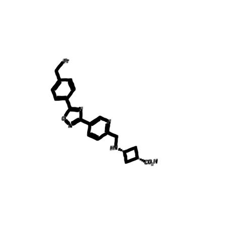 CC(C)Cc1ccc(-c2nc(-c3ccc(CN[C@H]4C[C@@H](C(=O)O)C4)nc3)no2)cc1